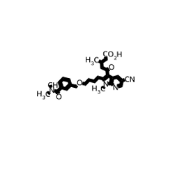 CC(CC(=O)O)CC(=O)c1c(CCCCOCc2cccc(C(=O)N(C)C)c2)n(C)c2ncc(C#N)cc12